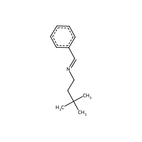 CC(C)(C)CCN=Cc1ccccc1